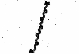 CC(=O)CCOCCOC=COC=COCCOCCC(C)=O